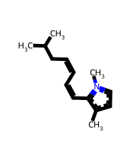 Cc1ccn(C)c1/C=C\C=C/CC(C)C